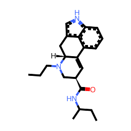 CCCN1C[C@H](C(=O)NC(C)CC)C=C2c3cccc4[nH]cc(c34)C[C@H]21